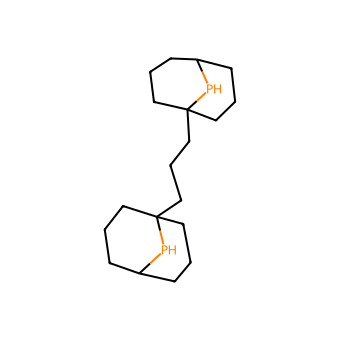 C1CC2CCCC(CCCC34CCCC(CCC3)P4)(C1)P2